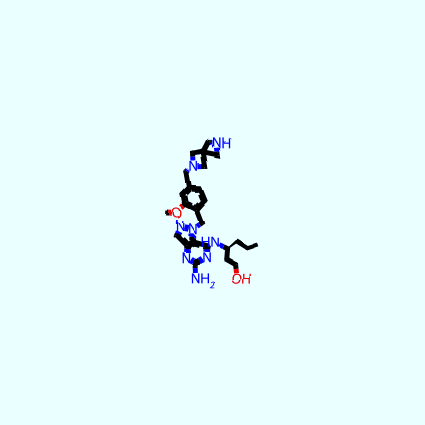 CCC[C@@H](CCO)Nc1nc(N)nc2cnn(Cc3ccc(CN4CC5(CNC5)C4)cc3OC)c12